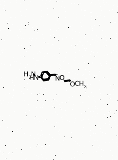 COCCO/N=C/c1ccc(NN)cc1